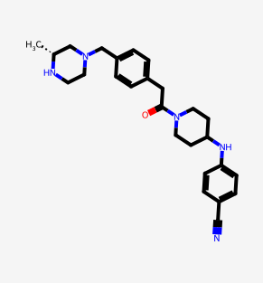 C[C@@H]1CN(Cc2ccc(CC(=O)N3CCC(Nc4ccc(C#N)cc4)CC3)cc2)CCN1